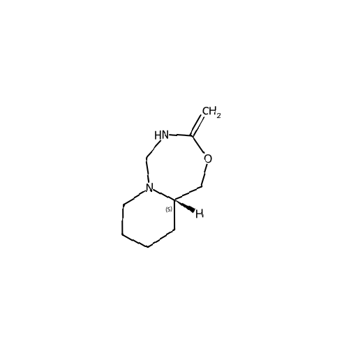 C=C1NCN2CCCC[C@H]2CO1